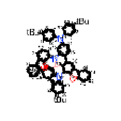 CC(C)(C)c1ccc(N(c2ccc(C(C)(C)C)cc2)c2ccc3c(c2)N(c2cccc4c2oc2ccccc24)B2c4c-3cc3c(oc5ccccc53)c4-n3c4ccc(C(C)(C)C)cc4c4cc(C(C)(C)C)cc2c43)cc1